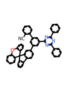 N#Cc1ccccc1-c1cc(-c2ccc3c(c2)C2(c4ccccc4Oc4ccccc42)c2ccccc2-3)cc(-c2nc(-c3ccccc3)nc(-c3ccccc3)n2)c1